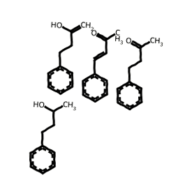 C=C(O)CCc1ccccc1.CC(=O)C=Cc1ccccc1.CC(=O)CCc1ccccc1.CC(O)CCc1ccccc1